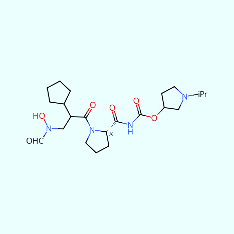 CC(C)N1CCC(OC(=O)NC(=O)[C@@H]2CCCN2C(=O)C(CN(O)C=O)C2CCCC2)C1